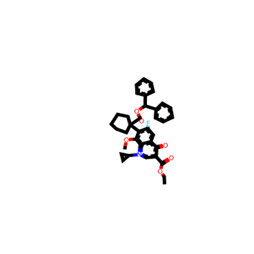 CCOC(=O)c1cn(C2CC2)c2c(OC)c(C3(C(=O)OC(c4ccccc4)c4ccccc4)CCCCC3)c(F)cc2c1=O